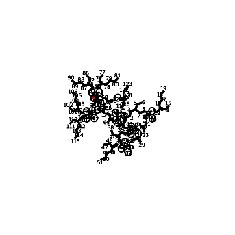 CCCCC(CC)CCP(=O)(OCC(CC)CCCC)SCC(C)OP(=O)(OC(C)CSP(=O)(OCC(CC)CCCC)OCC(CC)CCCC)SCC(C)OP(=O)(OC(C)CSP(=O)(OC(C)CSP(=O)(OCC(CC)CCCC)OCC(CC)CCCC)OC(C)CSP(=O)(OCC(CC)CCCC)OCC(CC)CCCC)SCCC(=O)OCC